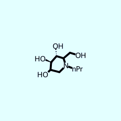 CCCN1CC(O)[C@@H](O)[C@H](O)C1CO